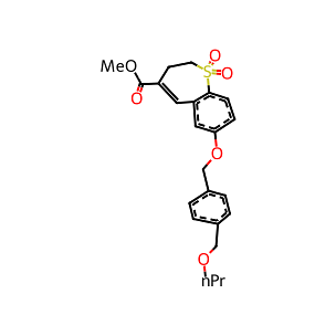 CCCOCc1ccc(COc2ccc3c(c2)C=C(C(=O)OC)CCS3(=O)=O)cc1